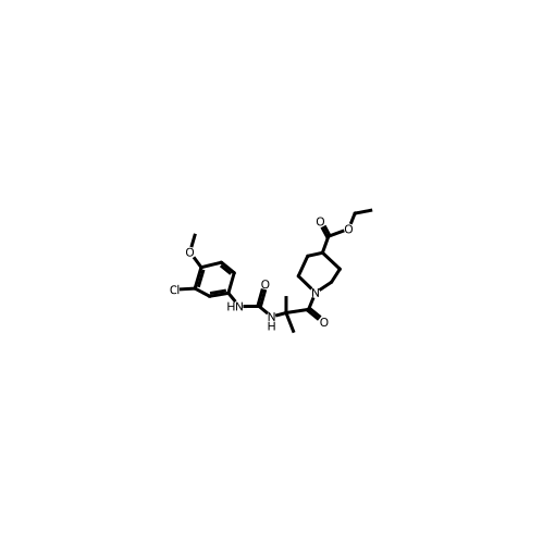 CCOC(=O)C1CCN(C(=O)C(C)(C)NC(=O)Nc2ccc(OC)c(Cl)c2)CC1